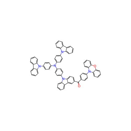 O=C(c1ccc(N2c3ccccc3Oc3ccccc32)cc1)c1ccc2c(c1)c1ccccc1n2-c1ccc(N(c2ccc(-n3c4ccccc4c4ccccc43)cc2)c2ccc(-n3c4ccccc4c4ccccc43)cc2)cc1